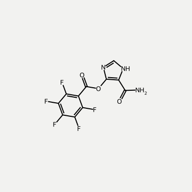 NC(=O)c1[nH]cnc1OC(=O)c1c(F)c(F)c(F)c(F)c1F